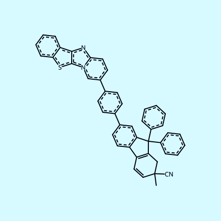 CC1(C#N)C=CC2=C(C1)C(c1ccccc1)(c1ccccc1)c1cc(-c3ccc(-c4ccc5nc6c7ccccc7sc6n5c4)cc3)ccc12